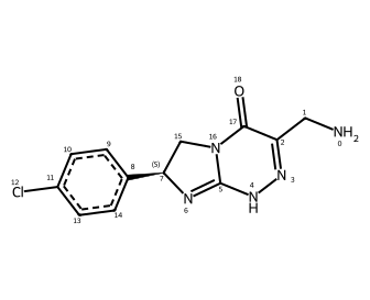 NCC1=NNC2=N[C@@H](c3ccc(Cl)cc3)CN2C1=O